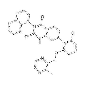 Cc1nccnc1COc1cccc(Cl)c1-c1ccc2c(=O)n(-c3cccc4ccccc34)c(=O)[nH]c2c1